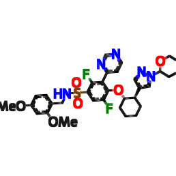 COc1ccc(CNS(=O)(=O)c2cc(F)c(O[C@H]3CCCC[C@@H]3c3cnn(C4CCCCO4)c3)c(-c3ccncn3)c2F)c(OC)c1